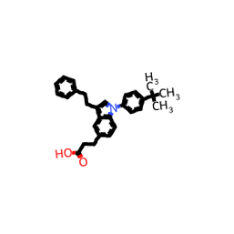 CC(C)(C)c1ccc(-n2cc(CCc3ccccc3)c3cc(CCC(=O)O)ccc32)cc1